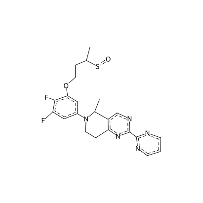 CC(CCOc1cc(N2CCc3nc(-c4ncccn4)ncc3C2C)cc(F)c1F)[S+]=O